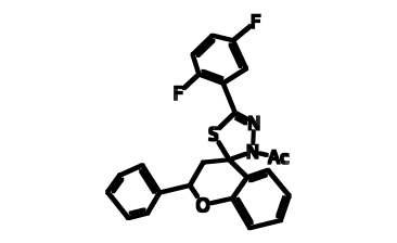 CC(=O)N1N=C(c2cc(F)ccc2F)SC12CC(c1ccccc1)Oc1ccccc12